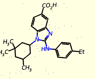 CCc1ccc(Nc2nc3cc(C(=O)O)ccc3n2C2CC(C)CC(C)(C)C2)cc1